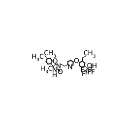 CCCc1cc(C(O)(C(F)(F)F)C(F)(F)F)ccc1Oc1ccc(CCN2C(=O)NC(C)(c3ccc(C(C)C)cc3)C2=O)nc1